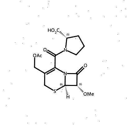 CO[C@H]1C(=O)N2C(C(=O)N3CCC[C@H]3C(=O)O)=C(COC(C)=O)CS[C@H]12